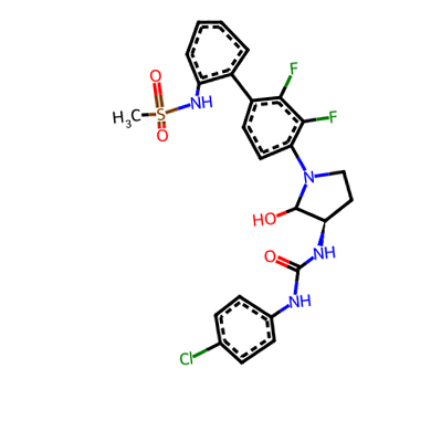 CS(=O)(=O)Nc1ccccc1-c1ccc(N2CC[C@@H](NC(=O)Nc3ccc(Cl)cc3)C2O)c(F)c1F